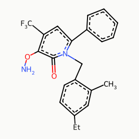 CCc1ccc(Cn2c(-c3ccccc3)cc(C(F)(F)F)c(ON)c2=O)c(C)c1